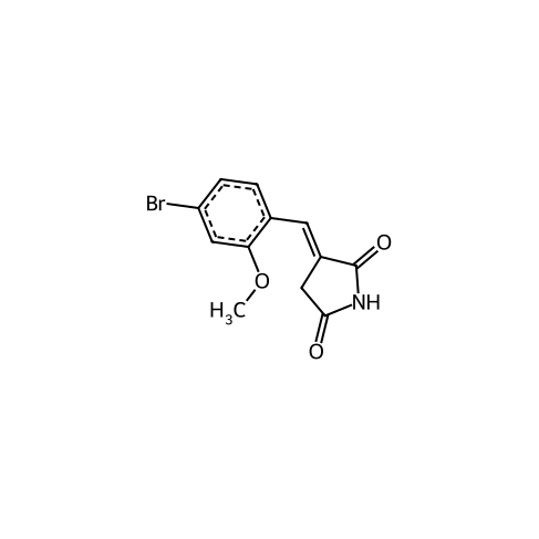 COc1cc(Br)ccc1C=C1CC(=O)NC1=O